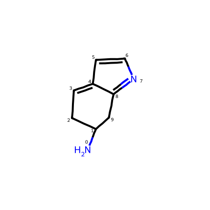 NC1CC=C2C=CN=C2C1